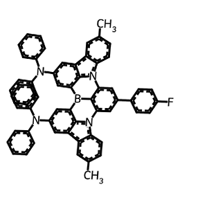 Cc1ccc2c(c1)c1cc(N(c3ccccc3)c3ccccc3)cc3c1n2-c1cc(-c2ccc(F)cc2)cc2c1B3c1cc(N(c3ccccc3)c3ccccc3)cc3c4cc(C)ccc4n-2c13